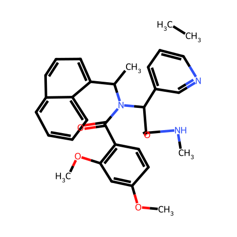 CC.CNC(=O)C(c1cccnc1)N(C(=O)c1ccc(OC)cc1OC)C(C)c1cccc2ccccc12